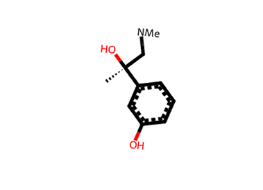 CNC[C@](C)(O)c1cccc(O)c1